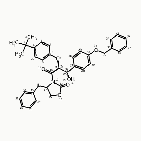 CC(C)(C)c1ccc(O[C@H](C(=O)N2C(=O)OCC2Cc2ccccc2)[C@H](O)c2ccc(OCc3ccccc3)cc2)cc1